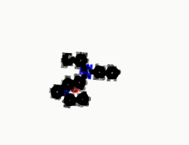 c1ccc(-c2ccc(-c3nc(-c4cccc(-c5ccccc5)c4)nc(-c4ccc5oc6c(ccc7c8ccccc8n(-c8cccc(-c9ccccc9)c8)c76)c5c4)n3)cc2)cc1